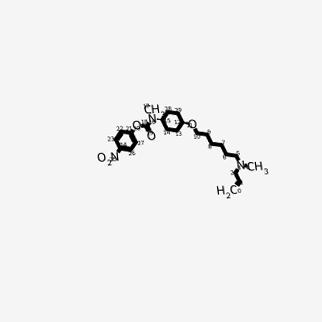 C=CCN(C)CCCCCCO[C@H]1CC[C@H](N(C)C(=O)Oc2ccc([N+](=O)[O-])cc2)CC1